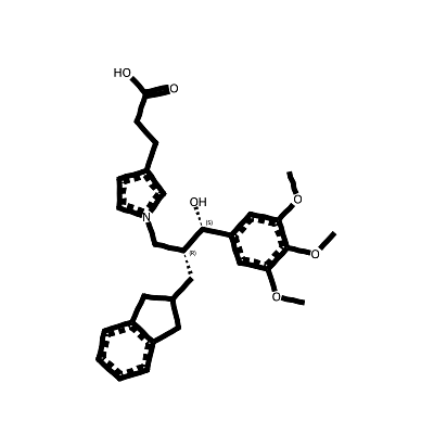 COc1cc([C@@H](O)[C@H](CC2Cc3ccccc3C2)Cn2ccc(CCC(=O)O)c2)cc(OC)c1OC